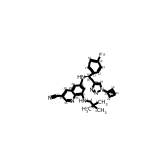 CC(C)(C)CNc1cc(N[C@@H](c2ccc(F)cc2)c2cn(C34CC(C3)C4)nn2)cc2cc(C#N)cnc12